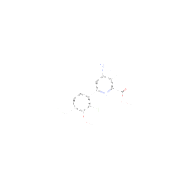 COC(=O)c1nc(-c2ccc(CF)c(OC)c2F)cc(N)c1Cl